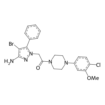 COc1cc(N2CCN(C(=O)Cn3nc(N)c(Br)c3-c3ccccc3)CC2)ccc1Cl